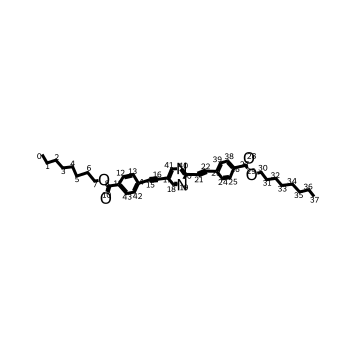 CCCCCCCCOC(=O)c1ccc(C#Cc2cnc(C#Cc3ccc(C(=O)OCCCCCCCC)cc3)nc2)cc1